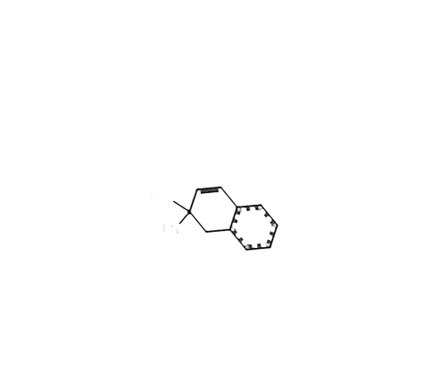 CC1(N)[CH]c2ccccc2C=C1